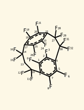 Fc1c(F)c2c(F)c(F)c1C(F)(F)CC(F)(F)c1c(F)c(F)c(c(F)c1F)C(F)(F)C2(F)F